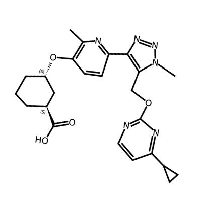 Cc1nc(-c2nnn(C)c2COc2nccc(C3CC3)n2)ccc1O[C@H]1CCC[C@H](C(=O)O)C1